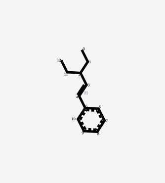 CC[C](/C=C/c1ccccc1)CC